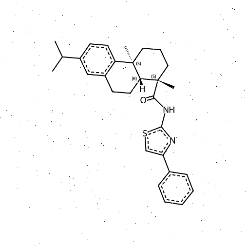 CC(C)c1ccc2c(c1)CC[C@H]1[C@@](C)(C(=O)Nc3nc(-c4ccccc4)cs3)CCC[C@]21C